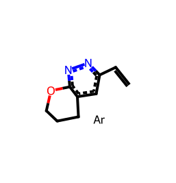 C=Cc1cc2c(nn1)OCCC2.[Ar]